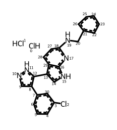 Cl.Cl.Clc1cccc(-c2cn[nH]c2-c2c[nH]c3nc(NCc4ccccc4)ccc23)c1